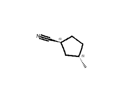 C[C@H]1CC[C@H](C#N)C1